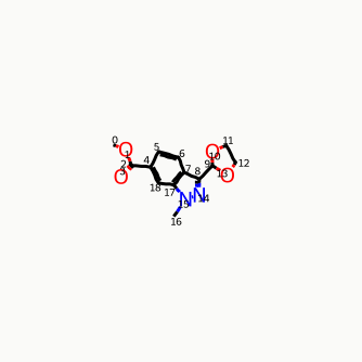 COC(=O)c1ccc2c(C3OCCO3)nn(C)c2c1